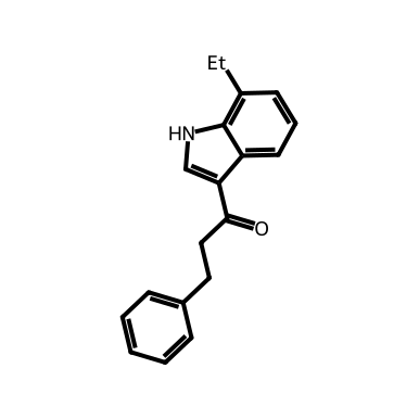 CCc1cccc2c(C(=O)CCc3ccccc3)c[nH]c12